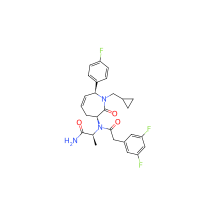 C[C@@H](C(N)=O)N(C(=O)Cc1cc(F)cc(F)c1)[C@H]1CC=C[C@@H](c2ccc(F)cc2)N(CC2CC2)C1=O